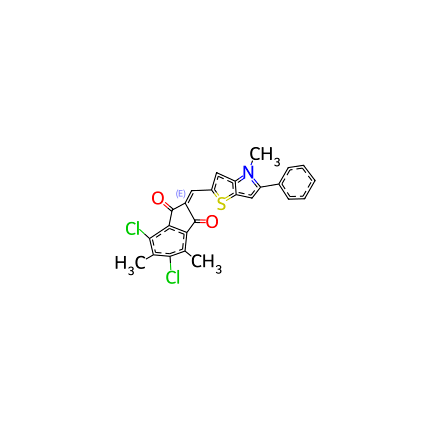 Cc1c(Cl)c(C)c2c(c1Cl)C(=O)/C(=C/c1cc3c(cc(-c4ccccc4)n3C)s1)C2=O